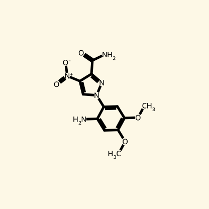 COc1cc(N)c(-n2cc([N+](=O)[O-])c(C(N)=O)n2)cc1OC